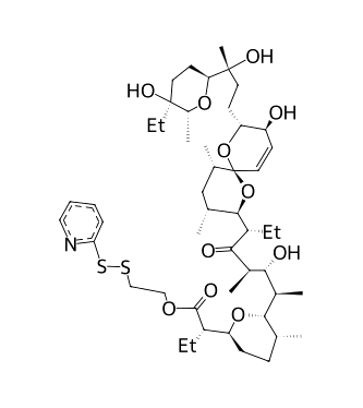 CC[C@H](C(=O)[C@H](C)[C@H](O)[C@@H](C)[C@H]1O[C@H]([C@H](CC)C(=O)OCCSSc2ccccn2)CC[C@H]1C)[C@@H]1O[C@@]2(C=C[C@H](O)[C@@H](CC[C@@](C)(O)[C@@H]3CC[C@@](O)(CC)[C@@H](C)O3)O2)[C@@H](C)C[C@H]1C